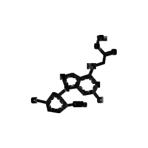 COc1ccc(Cl)cc1-n1ncc2c(NCC(=O)OC(C)(C)C)nc(Cl)cc21